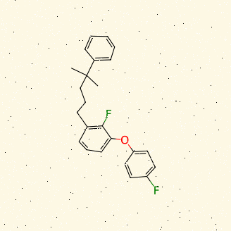 CC(C)(CCCc1cccc(Oc2ccc(F)cc2)c1F)c1ccccc1